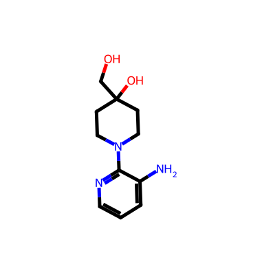 Nc1cccnc1N1CCC(O)(CO)CC1